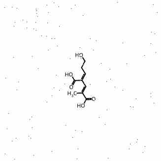 CC(=CC(=CCCO)C(=O)O)C(=O)O